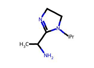 [CH2]C(C)N1CCN=C1C(C)N